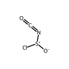 O=C=N[S+]([O-])Cl